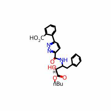 CCCCOC(=O)[C@H](O)C(Cc1ccccc1)NC(=O)c1ccc(-c2ccccc2C(=O)O)nn1